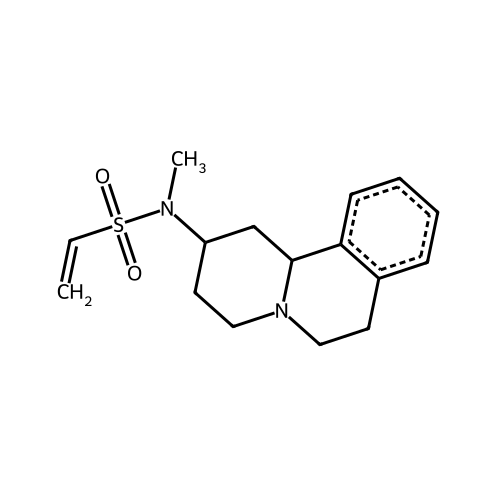 C=CS(=O)(=O)N(C)C1CCN2CCc3ccccc3C2C1